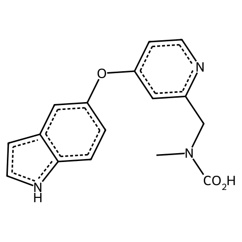 CN(Cc1cc(Oc2ccc3[nH]ccc3c2)ccn1)C(=O)O